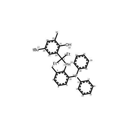 CCC(CC)(Pc1c(C)cccc1P(c1ccccc1)c1ccccc1)c1cc(C(C)(C)C)cc(C)c1O